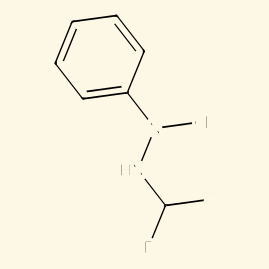 FC(F)NN(Cl)c1ccccc1